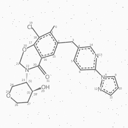 Cc1c(Cc2ccc(-n3cccn3)nc2)cc2c(c1Cl)OCN([C@H]1COCC[C@@H]1O)C2=O